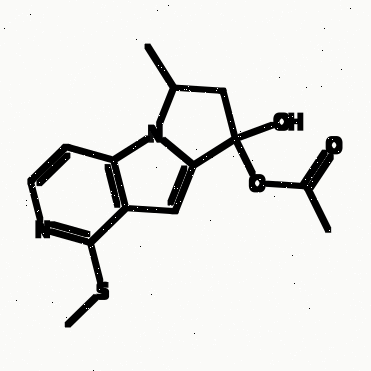 CSc1nccc2c1cc1n2C(C)CC1(O)OC(C)=O